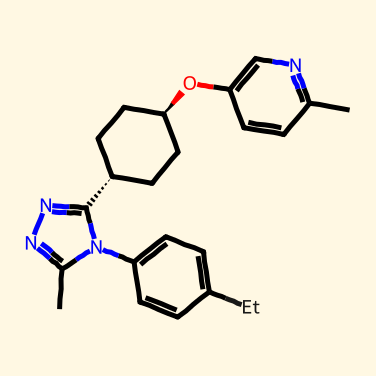 CCc1ccc(-n2c(C)nnc2[C@H]2CC[C@H](Oc3ccc(C)nc3)CC2)cc1